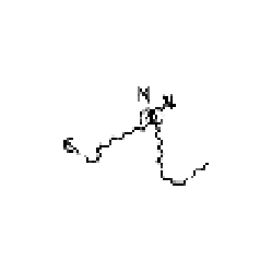 CCCCC/C=C\C/C=C\CCCCCCCC1OC(CCN(C)C)(CCN(C)C)OC1CCCCCCC/C=C\C/C=C\CCCCC